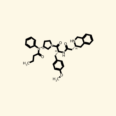 CCCC(=O)N(c1ccccc1)[C@@H]1CCN(C(=O)[C@@H](Cc2ccc(OC)cc2)NC(=O)C[C@H]2Cc3ccccc3CN2)C1